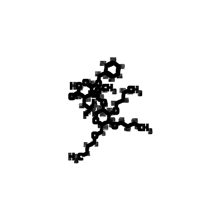 CCCCOC[C@H]1O[C@H](C(F)(F)CC(NC(=O)OCc2ccccc2)C(=O)O)[C@H](OCOC)[C@@H](OCCCC)[C@H]1OCCCC